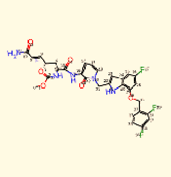 COC(=O)N[C@@H](CC/C=C/C(N)=O)C(=O)Nc1cccn(Cc2cc3cc(F)cc(OCc4ccc(F)cc4F)c3[nH]2)c1=O